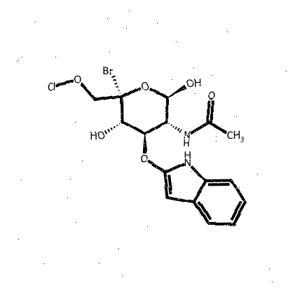 CC(=O)N[C@@H]1[C@@H](Oc2cc3ccccc3[nH]2)[C@H](O)[C@@](Br)(COCl)O[C@H]1O